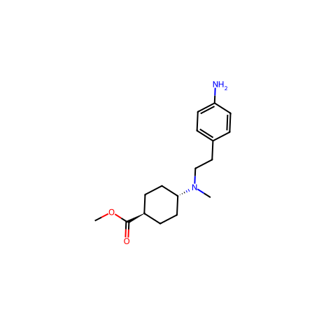 COC(=O)[C@H]1CC[C@H](N(C)CCc2ccc(N)cc2)CC1